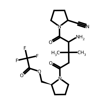 CC(C)(CC(=O)N1CCC[C@H]1COC(=O)C(F)(F)F)C(N)C(=O)N1CCCC1C#N